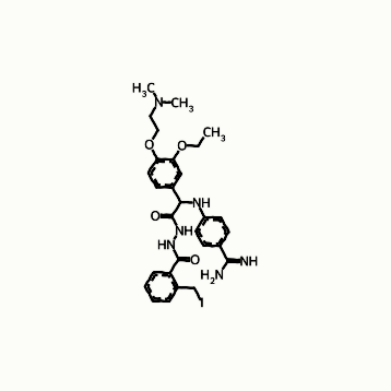 CCOc1cc(C(Nc2ccc(C(=N)N)cc2)C(=O)NNC(=O)c2ccccc2CI)ccc1OCCN(C)C